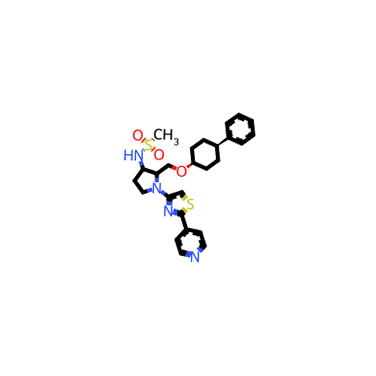 CS(=O)(=O)NC1CCN(c2csc(-c3ccncc3)n2)C1CO[C@H]1CC[C@@H](c2ccccc2)CC1